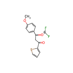 COc1ccc(C(=O)CC(=O)c2cccs2)cc1.F[B]F